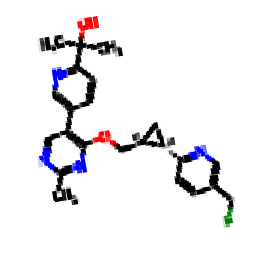 Cc1ncc(-c2ccc(C(C)(C)O)nc2)c(OC[C@H]2C[C@@H]2c2ccc(CF)cn2)n1